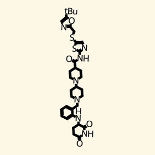 CC(C)(C)c1cnc(CSc2cnc(NC(=O)C3CCN(C4CCN(Cc5ccccc5NC5CCC(=O)NC5=O)CC4)CC3)s2)o1